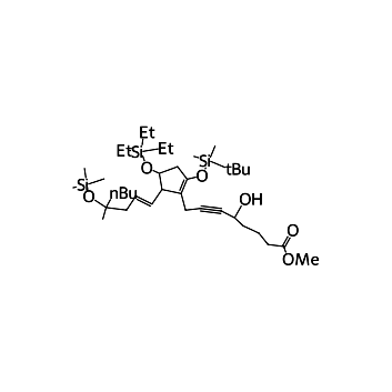 CCCCC(C)(CC=CC1C(CC#CC(O)CCCC(=O)OC)=C(O[Si](C)(C)C(C)(C)C)CC1O[Si](CC)(CC)CC)O[Si](C)(C)C